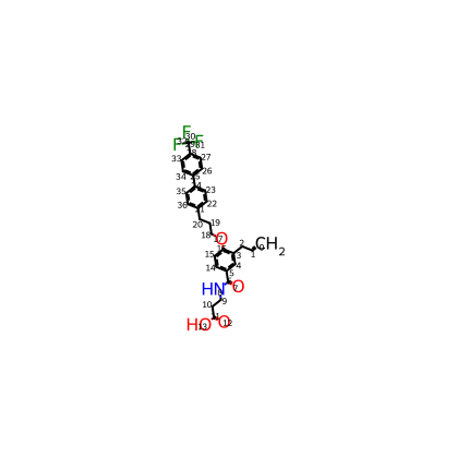 C=CCc1cc(C(=O)NCCC(=O)O)ccc1OCCCc1ccc(-c2ccc(C(F)(F)F)cc2)cc1